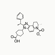 COC(=O)N1c2ccc3c(nc([C@@H](C)c4ccccc4)n3C3CCC(C(=O)O)CC3)c2CC[C@@H]1C